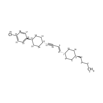 CCCC[C@H]1CC[C@H](C=CC#C[C@H]2CC[C@H](c3ccc(Cl)cc3)CC2)CC1